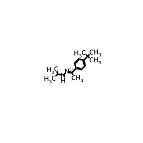 C/C(=N\NC(C)C)c1ccc(C(C)(C)C)cc1